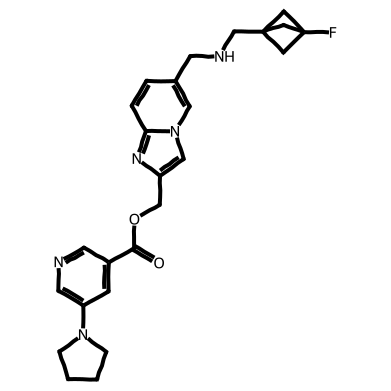 O=C(OCc1cn2cc(CNCC34CC(F)(C3)C4)ccc2n1)c1cncc(N2CCCC2)c1